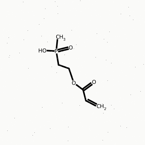 C=CC(=O)OCCP(C)(=O)O